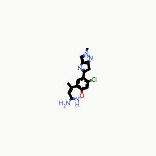 CC1=CC(N)NOc2cc(Cl)c(C3=Nc4cn(C)nc4C3)cc21